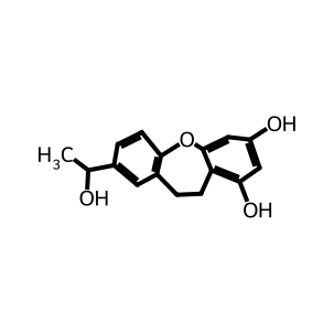 CC(O)c1ccc2c(c1)CCc1c(O)cc(O)cc1O2